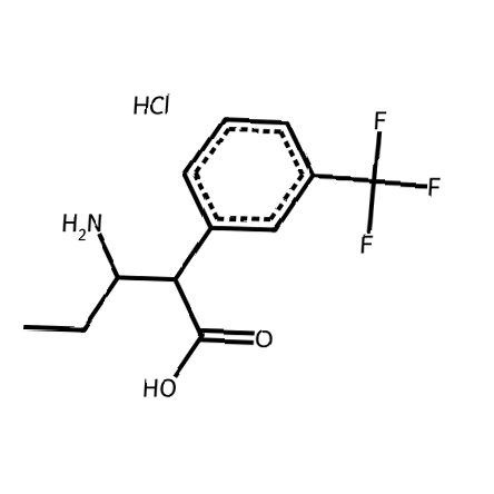 CCC(N)C(C(=O)O)c1cccc(C(F)(F)F)c1.Cl